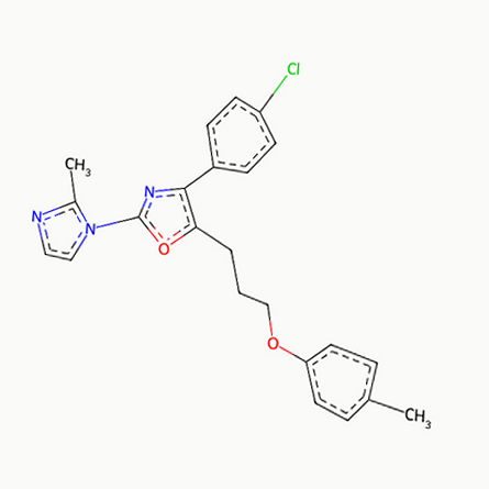 Cc1ccc(OCCCc2oc(-n3ccnc3C)nc2-c2ccc(Cl)cc2)cc1